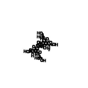 CN(CC(O)CN(CCO)C(=O)c1c(I)c(NC(=O)CO)c(I)c(C(=O)NCC(O)CO)c1I)C(=O)c1c(I)c(NC(=O)CO)c(I)c(C(=O)NCC(O)CO)c1I